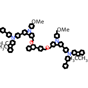 COCc1ccc(-n2c3ccc(COCc4ccc(C5Cc6ccccc6C(OCc6ccc7c(c6)c6cc(-c8ccc(N(c9ccc(-c%10ccccc%10)cc9)c9ccc%10c(c9)C(C)(C)c9ccccc9-%10)cc8)ccc6n7-c6ccc(OC)cc6)C5)cc4)cc3c3cc(-c4ccc(N(c5ccc(-c6ccccc6)cc5)c5ccc6c(c5)C(C)(C)c5ccccc5-6)cc4)ccc32)cc1